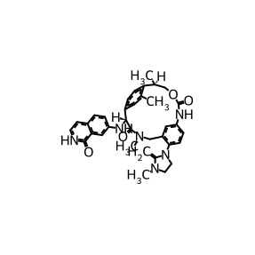 C=C1N(C)CCN1c1ccc2cc1CN(C)C(=O)[C@H](Nc1ccc3cc[nH]c(=O)c3c1)c1ccc(c(C)c1)[C@@H](C)COC(=O)N2